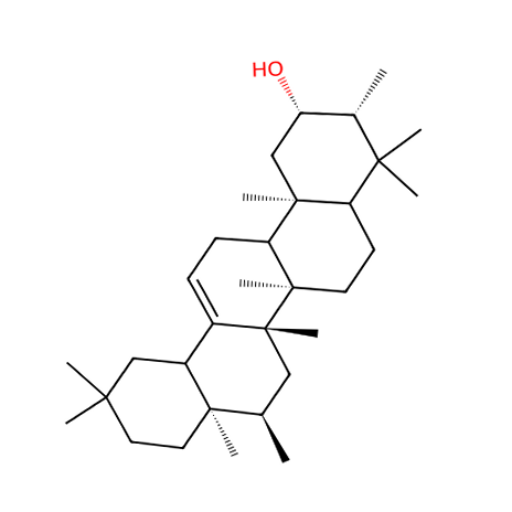 C[C@@H]1C[C@]2(C)C(=CCC3[C@@]4(C)C[C@H](O)[C@H](C)C(C)(C)C4CC[C@]32C)C2CC(C)(C)CC[C@@]21C